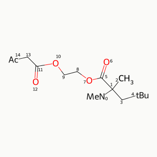 CNC(C)(CC(C)(C)C)C(=O)OCCOC(=O)CC(C)=O